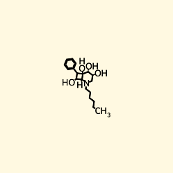 CCCCCCN1C[C@H](O)[C@@H](O)[C@@]2(O)C(c3ccccc3)C(O)[C@@H]12